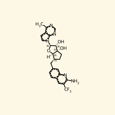 Cc1ncnc2c1ccn2[C@@H]1O[C@@H]2[C@H](Cc3ccc4cc(C(F)(F)F)c(N)nc4c3)CC[C@]2(O)[C@H]1O